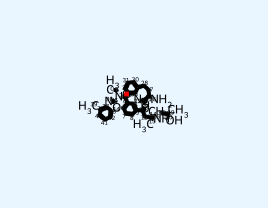 CCN(C(=O)c1cccc(C(=O)CC(C)(C)NC[C@@H](C)O)c1N1C(=O)C(N)CCc2ccccc21)c1nc2c(C)cccc2o1